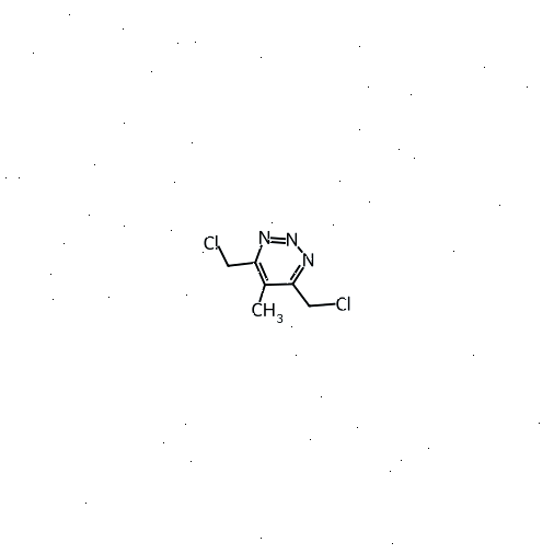 Cc1c(CCl)nnnc1CCl